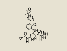 [2H]C([2H])([2H])NC(=O)c1nnc(NC(=O)C2CC2)cc1Nc1cccc(-c2ncn(C3(C)COC3)n2)c1OC